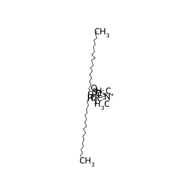 CCCCCCCCCCCCCCCCCCCCC(CCCCCCCCCCCCCCCCCC)S(=O)(=O)[O-].CC[N+](CC)(CC)CC